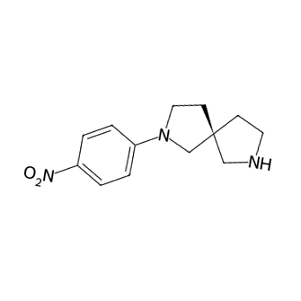 O=[N+]([O-])c1ccc(N2CC[C@]3(CCNC3)C2)cc1